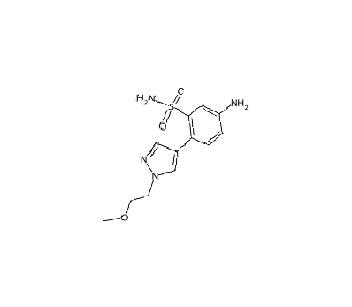 COCCn1cc(-c2ccc(N)cc2S(N)(=O)=O)cn1